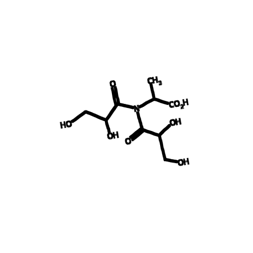 CC(C(=O)O)N(C(=O)C(O)CO)C(=O)C(O)CO